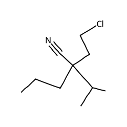 CCCC(C#N)(CCCl)C(C)C